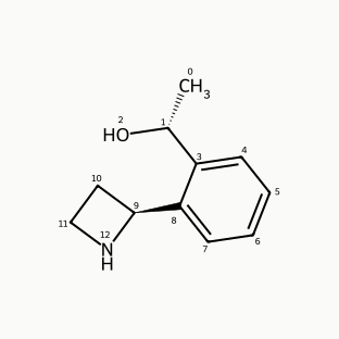 C[C@@H](O)c1ccccc1[C@@H]1CCN1